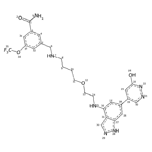 NC(=O)c1cc(CNCCCCOCCNc2cc(-c3cnnc(O)c3)cc3[nH]ncc23)cc(OC(F)(F)F)c1